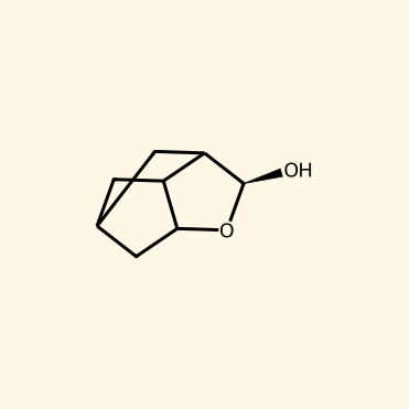 O[C@H]1OC2CC3CC2C1C3